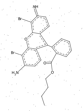 CCCCOC(=O)c1ccccc1-c1c2ccc(=N)c(Br)c-2oc2c(Br)c(N)ccc12